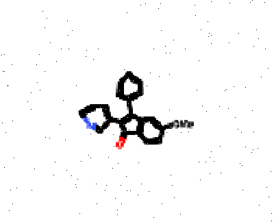 COc1ccc2c(c1)C(c1ccccc1)=C(c1cccnc1)C2=O